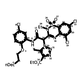 CCCCCCCCCCCCOc1ccc(Cl)cc1NC(=O)C(C1=Nc2c(Cl)cc(Cl)cc2S(=O)(=O)N1CC)n1nnc(C(=O)OCC)c1C